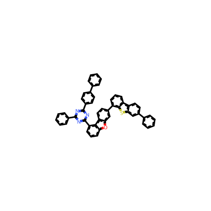 c1ccc(-c2ccc(-c3nc(-c4ccccc4)nc(-c4cccc5oc6cc(-c7cccc8c7sc7cc(-c9ccccc9)ccc78)ccc6c45)n3)cc2)cc1